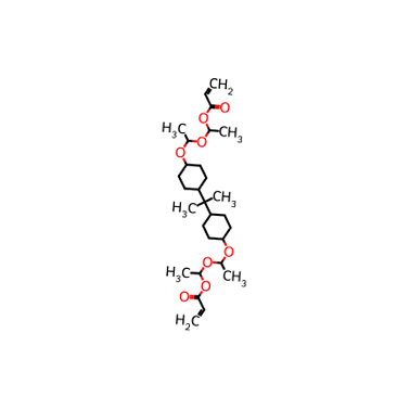 C=CC(=O)OC(C)OC(C)OC1CCC(C(C)(C)C2CCC(OC(C)OC(C)OC(=O)C=C)CC2)CC1